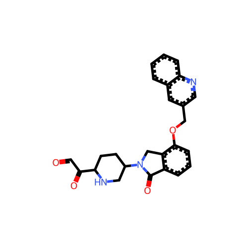 O=CC(=O)C1CCC(N2Cc3c(OCc4cnc5ccccc5c4)cccc3C2=O)CN1